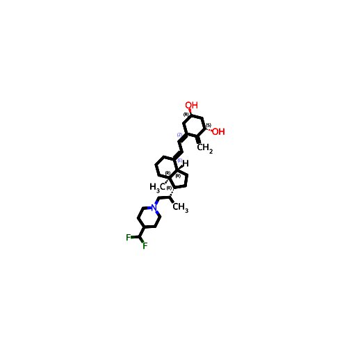 C=C1/C(=C\C=C2/CCC[C@]3(C)[C@@H](C(C)CN4CCC(C(F)F)CC4)CC[C@@H]23)C[C@@H](O)C[C@@H]1O